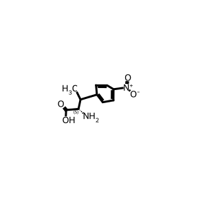 CC(c1ccc([N+](=O)[O-])cc1)[C@H](N)C(=O)O